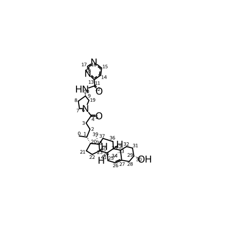 CC(CCC(=O)N1CC[C@H](NC(=O)c2ccncn2)C1)[C@H]1CC[C@H]2[C@@H]3CC=C4C[C@@H](O)CC[C@]4(C)[C@H]3CC[C@]12C